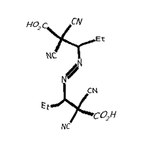 CCC(N=NC(CC)C(C#N)(C#N)C(=O)O)C(C#N)(C#N)C(=O)O